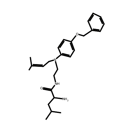 CC(C)=CCN(CCNC(=O)C(N)CC(C)C)c1ccc(OCc2ccccc2)cc1